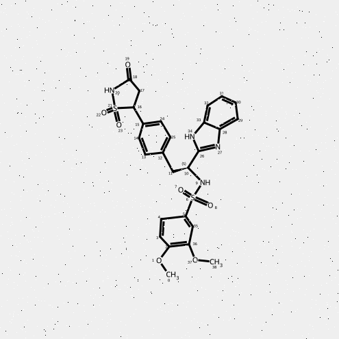 COc1ccc(S(=O)(=O)N[C@@H](Cc2ccc(C3CC(=O)NS3(=O)=O)cc2)c2nc3ccccc3[nH]2)cc1OC